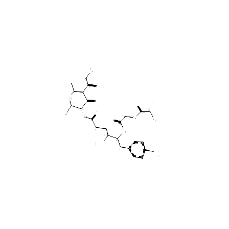 CC(C)C(C(=O)CN)C(=O)[C@@H](NC(=O)CCC(O)C(Cc1ccc(O)cc1)NC(=O)[C@H](C)NC(=O)[C@H](C)N)C(C)C